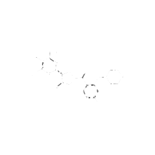 CC1=N/C(=C2\CN(C(=O)c3ccc(F)cc3OC3CCNCC3)CC2=N)NC(C)=C1Cl